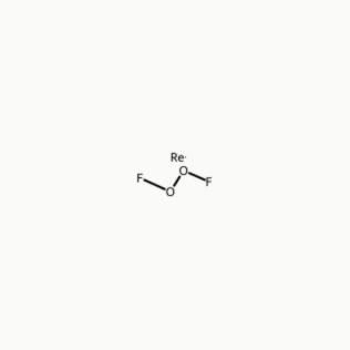 FOOF.[Re]